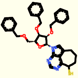 SC1CCCc2cn([C@@H]3O[C@H](COCc4ccccc4)[C@@H](OCc4ccccc4)[C@@H]3OCc3ccccc3)c3ncnc1c23